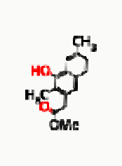 COC(=O)Cc1cc2ccc(C)cc2c(O)c1C